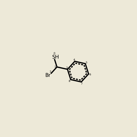 SC(Br)c1ccccc1